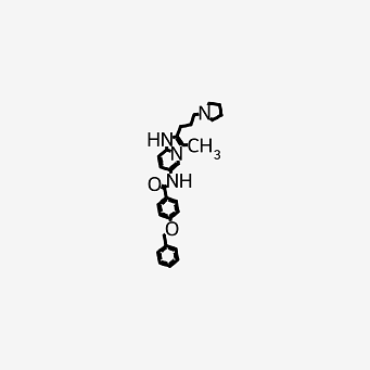 CC1=C(CCCN2CCCC2)NC2C=CC(NC(=O)c3ccc(OCc4ccccc4)cc3)=CN12